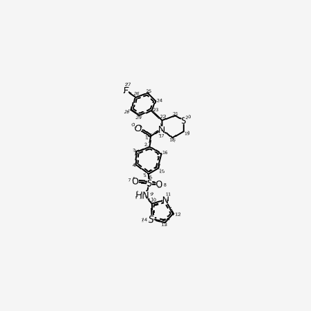 O=C(c1ccc(S(=O)(=O)Nc2nccs2)cc1)N1CCSCC1c1ccc(F)cc1